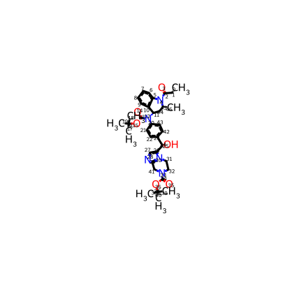 CCC(=O)N1c2ccccc2[C@H](N(C(=O)OC(C)(C)C)c2ccc(C(O)c3cnc4n3CCN(C(=O)OC(C)(C)C)C4)cc2)C[C@@H]1C